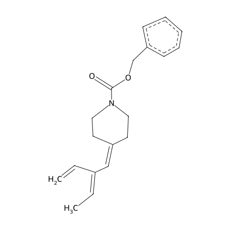 C=C/C(C=C1CCN(C(=O)OCc2ccccc2)CC1)=C\C